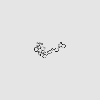 [2H]C([2H])([2H])c1cnc(-n2c3ccccc3c3ccc(Oc4cccc(-n5cnc6ccccc65)c4)cc32)c(C([2H])([2H])[2H])c1-c1ccccc1